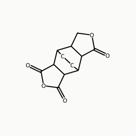 O=C1OCC2C3CCC(C12)C1C(=O)OC(=O)C31